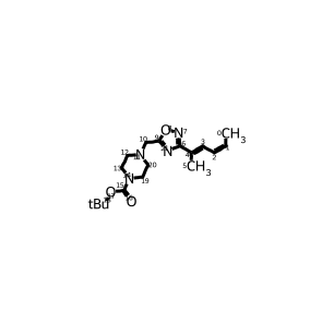 C/C=C\C=C(/C)c1noc(CN2CCN(C(=O)OC(C)(C)C)CC2)n1